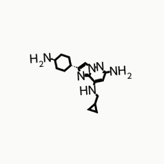 Nc1cc(NCC2CC2)c2nc([C@H]3CC[C@H](N)CC3)cn2n1